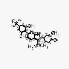 Cc1cc(C(F)(F)F)cc(O)c1-c1ccc2c([C@H](C)N)n(C3CCC(=O)N(C)C3)nc2n1